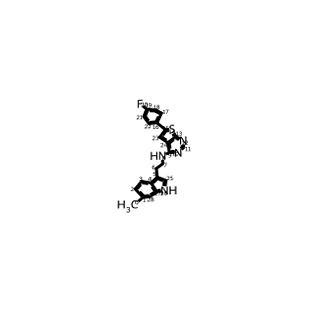 Cc1ccc2c(CCNc3ncnc4sc(-c5ccc(F)cc5)cc34)c[nH]c2c1